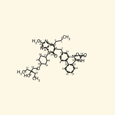 CCCc1c(Cc2ccc(-c3ccccc3-c3noc(=O)[nH]3)cc2)c(=O)n(C2CCC(OCC(O)(CC)CC)CC2)c2nc(C)nn12